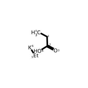 CCC(=O)O.C[CH2][K]